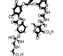 C#CCOc1cc(-n2nc3n(c2=O)CCCC3)c(Cl)cc1Cl.COc1cc(OC)nc(NC(=O)NS(=O)(=O)c2c(C(=O)O)c(Cl)nn2C)n1.O=C(O)CNCP(=O)(O)O